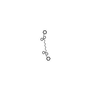 O=C(CCCCCCCC(=O)OCc1ccccc1)OCc1ccccc1